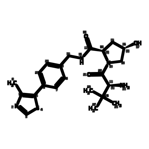 Cc1ncsc1-c1ccc(CNC(=O)[C@H]2C[C@H](O)CN2C(=O)[C@@H](N)C(C)(C)C)cc1